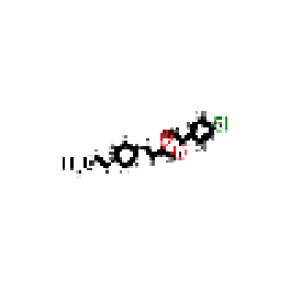 CCC[C@H]1CC[C@H](CCC2COC(c3ccc(Cl)cc3)CO2)CC1